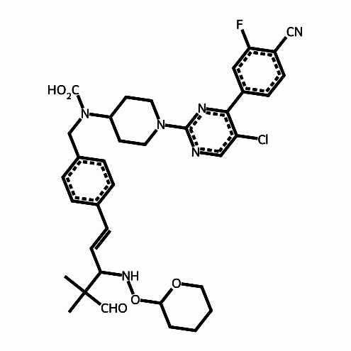 CC(C)(C=O)C(/C=C/c1ccc(CN(C(=O)O)C2CCN(c3ncc(Cl)c(-c4ccc(C#N)c(F)c4)n3)CC2)cc1)NOC1CCCCO1